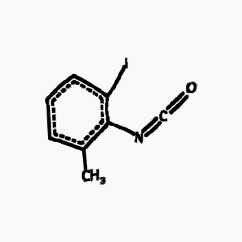 Cc1cccc(I)c1N=C=O